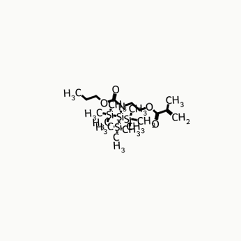 C=C(C)C(=O)OCCN(C(=O)OCCC)[Si]([Si](C)(C)C)([Si](C)(C)C)[Si](C)(C)C